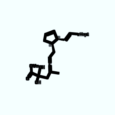 CCCCCCCC=C[C@H]1C=CC[C@@H]1CC=C=C(C)CC(O)(O)C(=O)OC